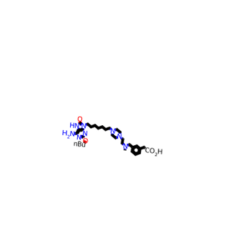 CCCCOc1nc(N)c2[nH]c(=O)n(CCCCCCCN3CCN(CCN(C)Cc4cccc(CC(=O)O)c4)CC3)c2n1